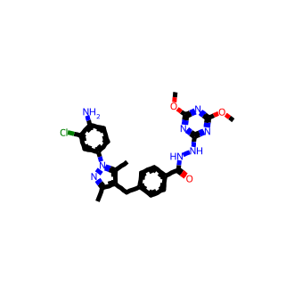 COc1nc(NNC(=O)c2ccc(Cc3c(C)nn(-c4ccc(N)c(Cl)c4)c3C)cc2)nc(OC)n1